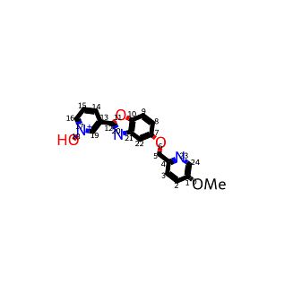 COc1ccc(COc2ccc3oc(-c4ccc[n+](O)c4)nc3c2)nc1